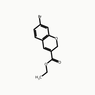 CCOC(=O)C1=Cc2ccc(Br)cc2OC1